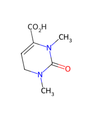 CN1CC=C(C(=O)O)N(C)C1=O